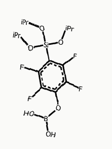 CC(C)O[Si](OC(C)C)(OC(C)C)c1c(F)c(F)c(OB(O)O)c(F)c1F